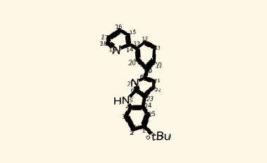 CC(C)(C)c1ccc2[nH]c3nc(-c4cccc(-c5ccccn5)c4)ccc3c2c1